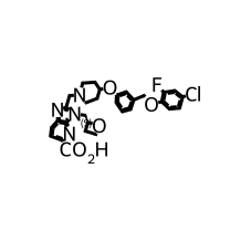 O=C(O)c1ccc2nc(CN3CCC(Oc4cccc(COc5ccc(Cl)cc5F)c4)CC3)n(C[C@@H]3CCO3)c2n1